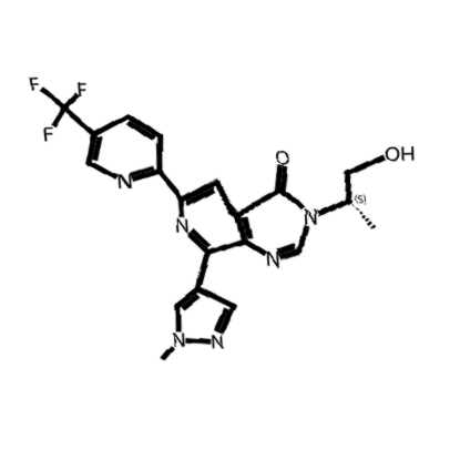 C[C@@H](CO)n1cnc2c(-c3cnn(C)c3)nc(-c3ccc(C(F)(F)F)cn3)cc2c1=O